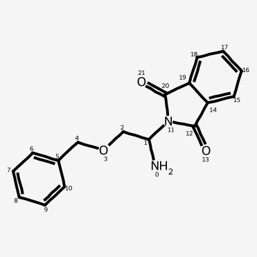 NC(COCc1ccccc1)N1C(=O)c2ccccc2C1=O